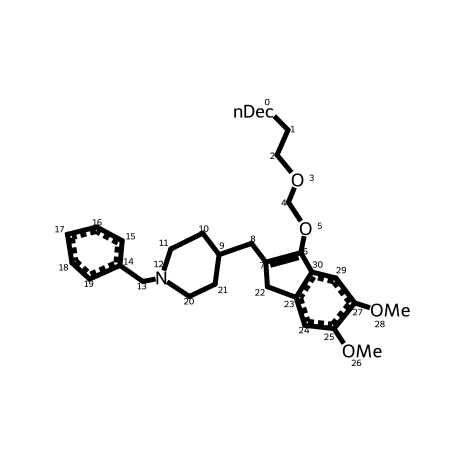 CCCCCCCCCCCCOCOC1=C(CC2CCN(Cc3ccccc3)CC2)Cc2cc(OC)c(OC)cc21